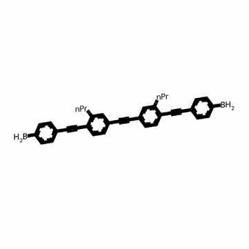 Bc1ccc(C#Cc2ccc(C#Cc3ccc(C#Cc4ccc(B)cc4)c(CCC)c3)cc2CCC)cc1